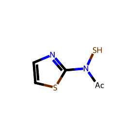 CC(=O)N(S)c1nccs1